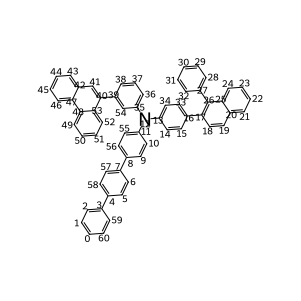 c1ccc(-c2ccc(-c3ccc(N(c4ccc(-c5ccc6ccccc6c5-c5ccccc5)cc4)c4cccc(-c5cc6ccccc6c6ccccc56)c4)cc3)cc2)cc1